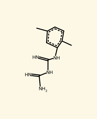 Cc1ccc(C)c(NC(=N)NC(=N)N)c1